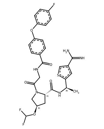 C[C@@H](NC(=O)[C@@H]1C[C@@H](OC(F)F)CN1C(=O)CNC(=O)c1ccc(Oc2ccc(F)cc2)cc1)c1cc(C(=N)N)cs1